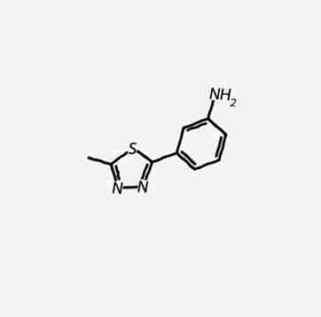 Cc1nnc(-c2cccc(N)c2)s1